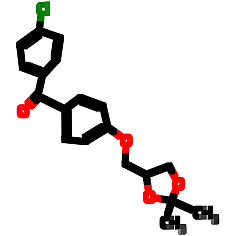 CC1(C)OCC(COc2ccc(C(=O)c3ccc(Cl)cc3)cc2)O1